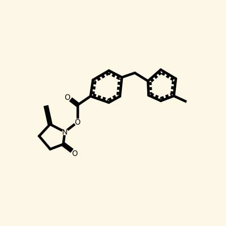 C=C1CCC(=O)N1OC(=O)c1ccc(Cc2ccc(C)cc2)cc1